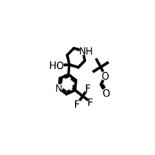 CC(C)(C)OC=O.OC1(c2cncc(C(F)(F)F)c2)CCNCC1